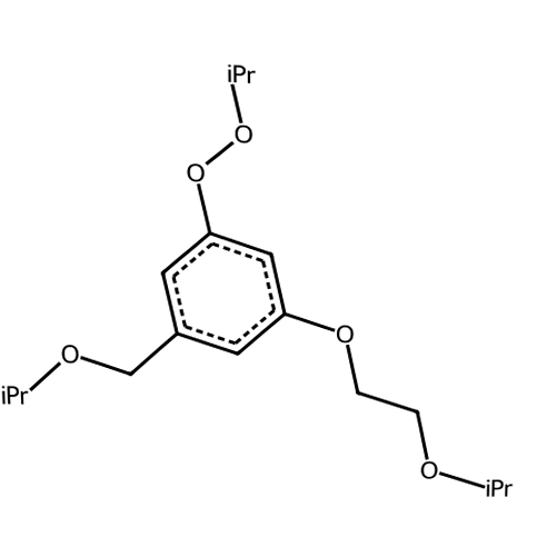 CC(C)OCCOc1cc(COC(C)C)cc(OOC(C)C)c1